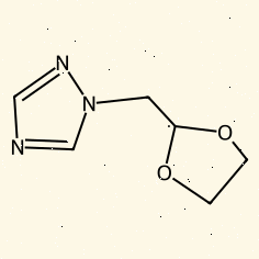 c1ncn(C[C]2OCCO2)n1